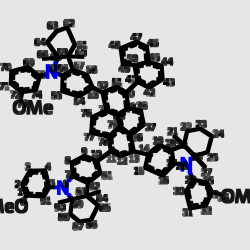 COc1cccc(N2c3ccc(-c4cc(-c5ccc6c(c5)C5(C)CCCCC5(C)N6c5cccc(OC)c5)c5ccc6c(-c7cccc8ccccc78)cc(-c7ccc8c(c7)C7(C)CCCCC7(C)N8c7cccc(OC)c7)c7ccc4c5c76)cc3C3(C)CCCCC23C)c1